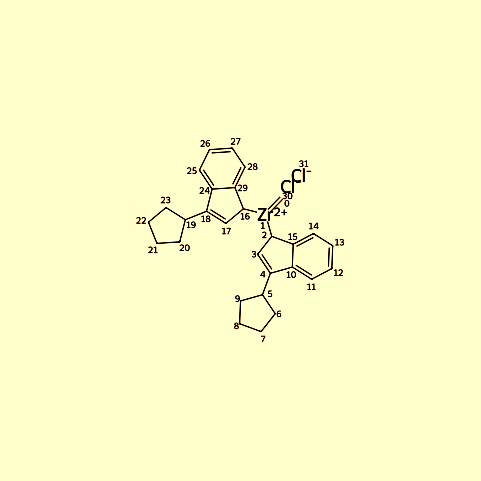 [CH2]=[Zr+2]([CH]1C=C(C2CCCC2)c2ccccc21)[CH]1C=C(C2CCCC2)c2ccccc21.[Cl-].[Cl-]